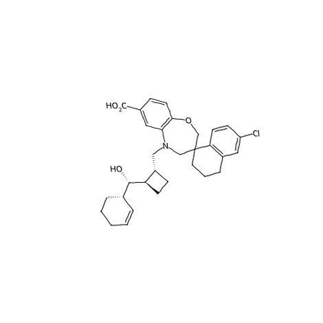 O=C(O)c1ccc2c(c1)N(C[C@@H]1CC[C@H]1[C@@H](O)[C@@H]1C=CCCC1)CC1(CCCc3cc(Cl)ccc31)CO2